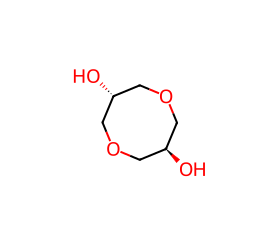 O[C@H]1COC[C@H](O)COC1